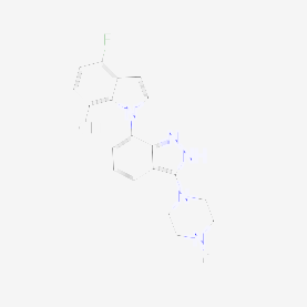 Cc1ccc(F)c2ccn(-c3cccc4c(N5CCN(C)CC5)[nH]nc34)c12